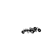 Cc1c(NC(=O)NCCN2CCCC2)cn2ncc(C#N)c(Nc3ccc(Oc4ccccc4)cc3)c12